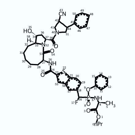 CCCOC(=O)[C@H](C)NP(=O)(Oc1ccccc1)C(F)c1ccc2sc(C(=O)N[C@H]3CCCCC[C@H]4[C@H](O)C[C@@H](C(=O)N5CC(C#N)C(c6ccccc6)C5)N4C3=O)cc2c1